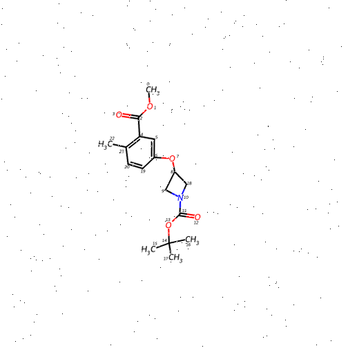 COC(=O)c1cc(OC2CN(C(=O)OC(C)(C)C)C2)ccc1C